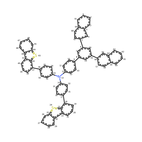 c1ccc2cc(-c3cc(-c4ccc(N(c5ccc(-c6cccc7c6sc6ccccc67)cc5)c5ccc(-c6cccc7c6sc6ccccc67)cc5)cc4)cc(-c4ccc5ccccc5c4)c3)ccc2c1